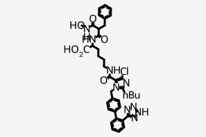 CCCCc1nc(Cl)c(C(=O)NCCCCC(NC(=O)C(Cc2ccccc2)C(=O)NO)C(=O)O)n1Cc1ccc(-c2ccccc2-c2nn[nH]n2)cc1